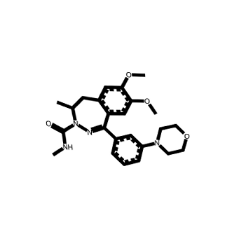 CNC(=O)N1N=C(c2cccc(N3CCOCC3)c2)c2cc(OC)c(OC)cc2CC1C